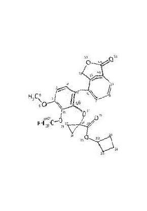 COc1ccc(-c2cccc3c2COC3=O)c(OC2(C(=O)OC3CCC3)CC2)c1OC